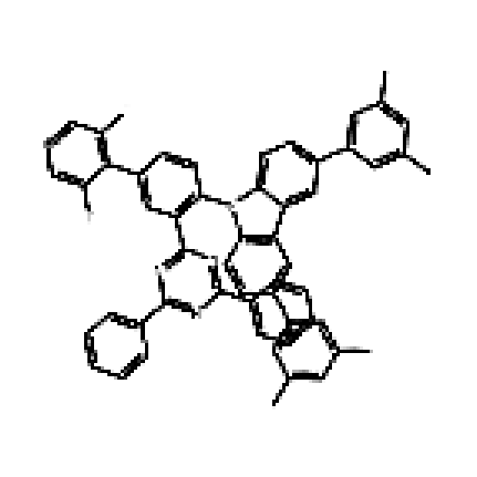 Cc1cc(C)cc(-c2ccc3c(c2)c2cc(-c4cc(C)cc(C)c4)ccc2n3-c2ccc(-c3c(F)cccc3F)cc2-c2nc(-c3ccccc3)nc(-c3ccccc3)n2)c1